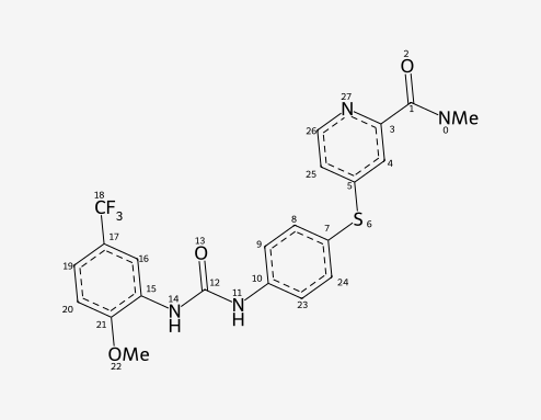 CNC(=O)c1cc(Sc2ccc(NC(=O)Nc3cc(C(F)(F)F)ccc3OC)cc2)ccn1